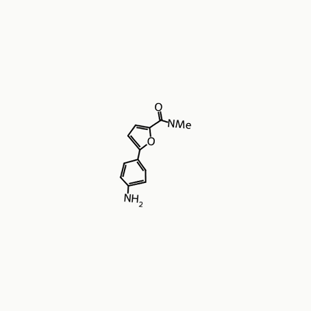 CNC(=O)c1ccc(-c2ccc(N)cc2)o1